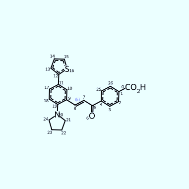 O=C(O)c1ccc(C(=O)/C=C/c2cc(-c3cccs3)ccc2N2CCCC2)cc1